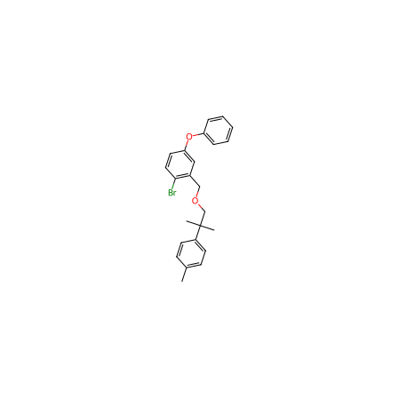 Cc1ccc(C(C)(C)COCc2cc(Oc3ccccc3)ccc2Br)cc1